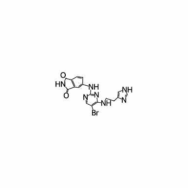 O=C1NC(=O)c2cc(Nc3ncc(Br)c(NCCc4c[nH]cn4)n3)ccc21